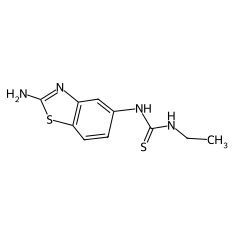 CCNC(=S)Nc1ccc2sc(N)nc2c1